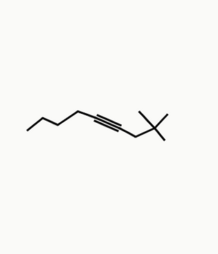 CCCCC#CCC(C)(C)C